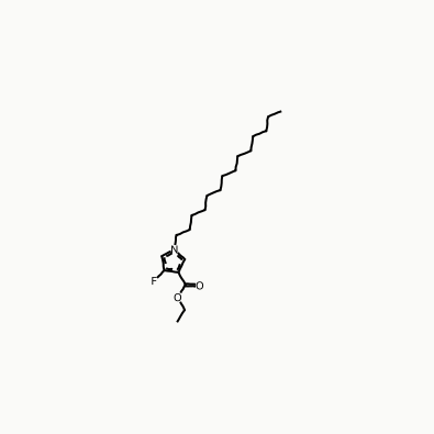 CCCCCCCCCCCCCCn1cc(F)c(C(=O)OCC)c1